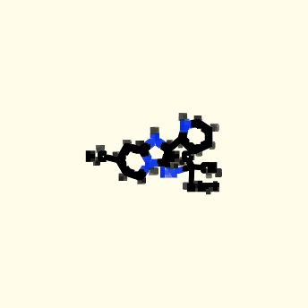 CCCCCCCC(C)(C)Nc1c(-c2ccccn2)nc2cc(C)ccn12